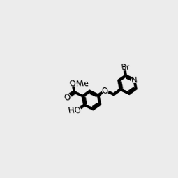 COC(=O)c1cc(OCc2ccnc(Br)c2)ccc1O